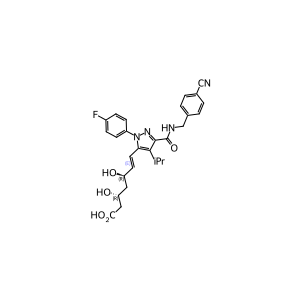 CC(C)c1c(C(=O)NCc2ccc(C#N)cc2)nn(-c2ccc(F)cc2)c1/C=C/[C@H](O)C[C@@H](O)CC(=O)O